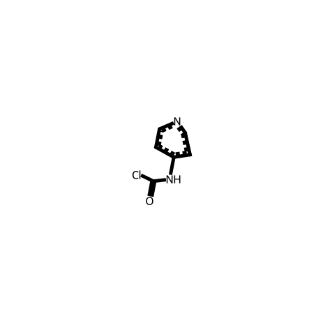 O=C(Cl)Nc1ccncc1